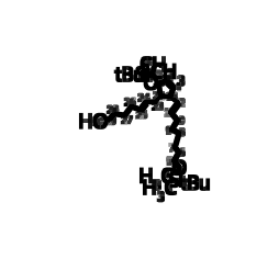 CC(C)(C)[Si](C)(C)OCCCCCCC=C[C@@H]1C=C[C@@H](O[Si](C)(C)C(C)(C)C)[C@@H]1C/C=C/CCCCO